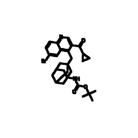 CC(C)(C)OC(=O)NC12CC3CC(CC(Cc4c(C(=O)C5CC5)cnc5ccc(Br)cc45)(C3)C1)C2